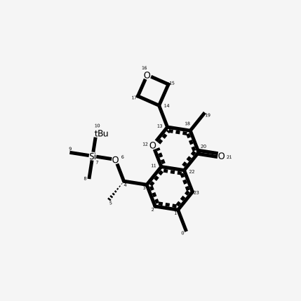 Cc1cc([C@H](C)O[Si](C)(C)C(C)(C)C)c2oc(C3COC3)c(C)c(=O)c2c1